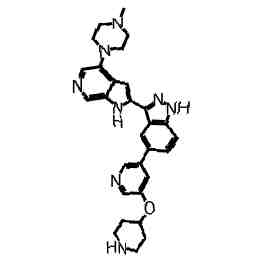 CN1CCN(c2cncc3[nH]c(-c4n[nH]c5ccc(-c6cncc(OC7CCNCC7)c6)cc45)cc23)CC1